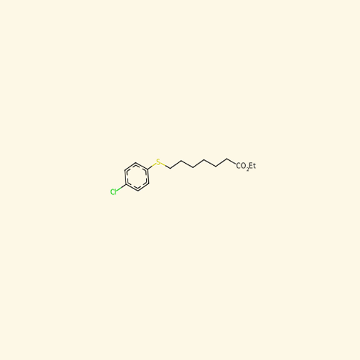 CCOC(=O)CCCCCCSc1ccc(Cl)cc1